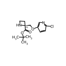 CC(C)(C)OC(=O)[C@@]1(COc2ccc(Cl)nc2)CCN1